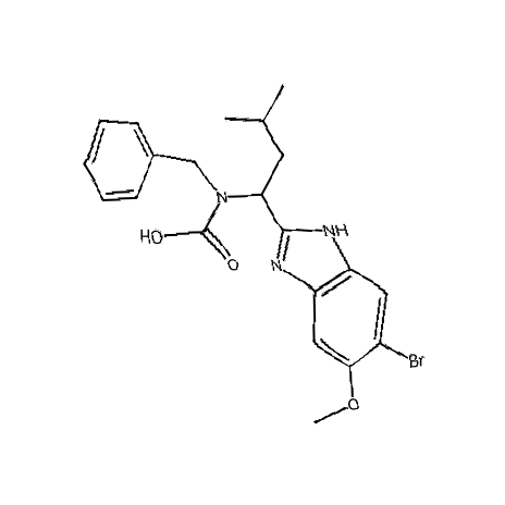 COc1cc2nc(C(CC(C)C)N(Cc3ccccc3)C(=O)O)[nH]c2cc1Br